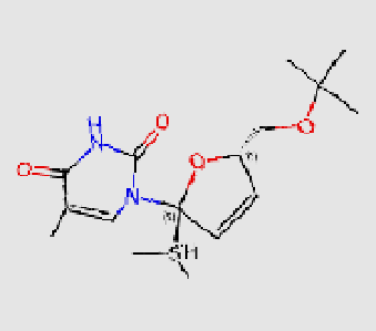 Cc1cn([C@@]2([SiH](C)C)C=C[C@@H](COC(C)(C)C)O2)c(=O)[nH]c1=O